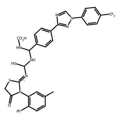 Cc1ccc(C(C)C)c(N2C(=O)CS/C2=N\C(S)NC(NC(=O)O)c2ccc(-c3ncn(-c4ccc(C(F)(F)F)cc4)n3)cc2)c1